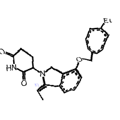 C/C=C1\c2cccc(OCc3ccc(CC)cc3)c2CN1C1CCC(=O)NC1=O